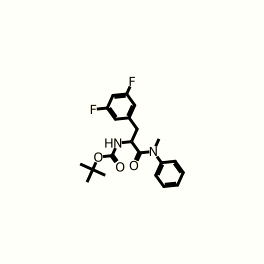 CN(C(=O)C(Cc1cc(F)cc(F)c1)NC(=O)OC(C)(C)C)c1ccccc1